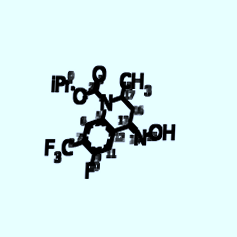 CC(C)OC(=O)N1c2cc(C(F)(F)F)c(F)cc2C(=NO)CC1C